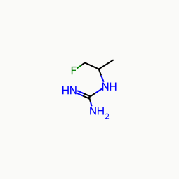 CC(CF)NC(=N)N